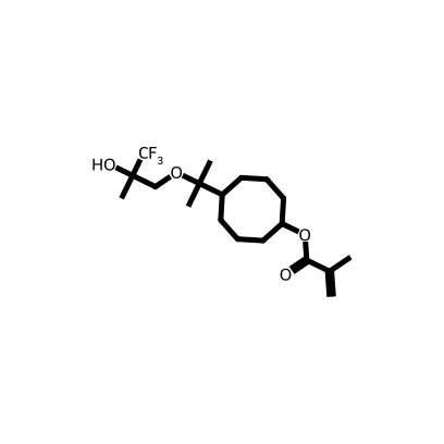 C=C(C)C(=O)OC1CCCC(C(C)(C)OCC(C)(O)C(F)(F)F)CCC1